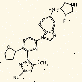 Cc1cc(C#N)nn1-c1nc(-n2cnc3cc(N[C@@H]4CNC[C@@H]4F)ccc32)ccc1C1CCCO1